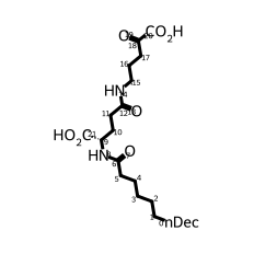 CCCCCCCCCCCCCCCC(=O)N[C@@H](CCC(=O)N[CH]CCC(=O)C(=O)O)C(=O)O